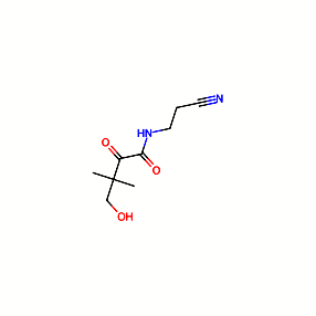 CC(C)(CO)C(=O)C(=O)NCCC#N